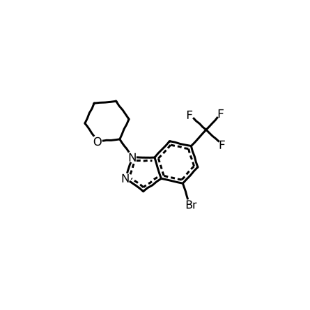 FC(F)(F)c1cc(Br)c2cnn(C3CCCCO3)c2c1